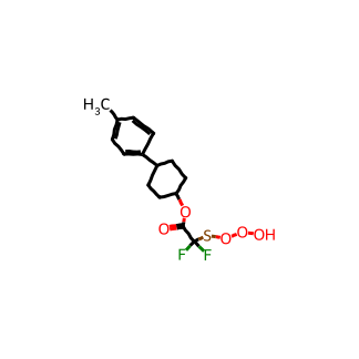 Cc1ccc(C2CCC(OC(=O)C(F)(F)SOOO)CC2)cc1